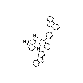 C=Cc1c(C)cccc1N(c1ccc2sc3ccccc3c2c1)c1ccc(-c2ccc(-c3cccc4c3oc3ccccc34)cc2)c2ccccc12